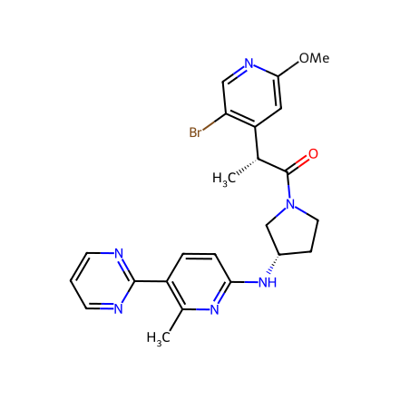 COc1cc([C@@H](C)C(=O)N2CC[C@H](Nc3ccc(-c4ncccn4)c(C)n3)C2)c(Br)cn1